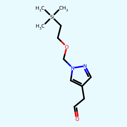 C[Si](C)(C)CCOCn1cc(CC=O)cn1